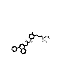 CN(C)CCCc1cc(NC(=O)Cc2ccc(-c3ccncc3)c3ccccc23)ccc1I